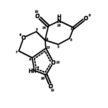 O=C1CCC2(COCc3[nH]c(=O)oc32)C(=O)N1